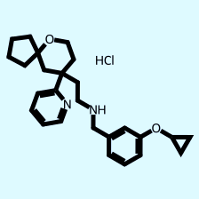 Cl.c1ccc(C2(CCNCc3cccc(OC4CC4)c3)CCOC3(CCCC3)C2)nc1